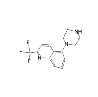 FC(F)(F)c1ccc2c(N3CCNCC3)cccc2n1